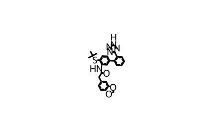 CC(C)(C)Sc1ccc(-c2ccccc2-c2nn[nH]n2)cc1NC(=O)Cc1ccc2c(c1)OCO2